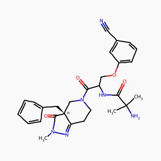 CN1N=C2CCN(C(=O)C(COc3cccc(C#N)c3)NC(=O)C(C)(C)N)C[C@@]2(Cc2ccccc2)C1=O